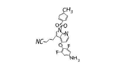 Cc1ccc(S(=O)(=O)n2cc(CCCC#N)c3c(Oc4c(F)cc(N)cc4F)ccnc32)cc1